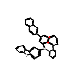 c1ccc(-c2ccccc2N(c2cccc(-c3ccc4ccccc4c3)c2)c2ccc3sc4ccccc4c3c2)cc1